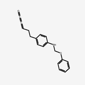 O=C=C=CCCc1ccc(NCOc2ccccc2)cc1